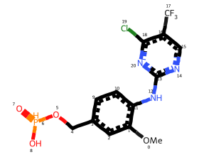 COc1cc(CO[PH](=O)O)ccc1Nc1ncc(C(F)(F)F)c(Cl)n1